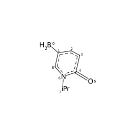 Bc1ccc(=O)n(C(C)C)c1